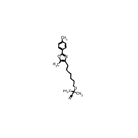 Cc1ccc(-c2nc(CCCCCCOC(C)(C)C#N)c(C)o2)cc1